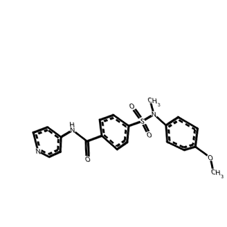 COc1ccc(N(C)S(=O)(=O)c2ccc(C(=O)Nc3ccncc3)cc2)cc1